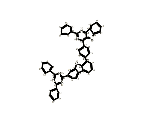 c1ccc(-c2nc(-c3ccccc3)nc(-c3ccc4c(c3)oc3c(-c5ccc(-c6nc(-c7ccccc7)nc7c6oc6ccccc67)cc5)cccc34)n2)cc1